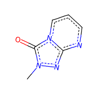 Cn1nc2ncccn2c1=O